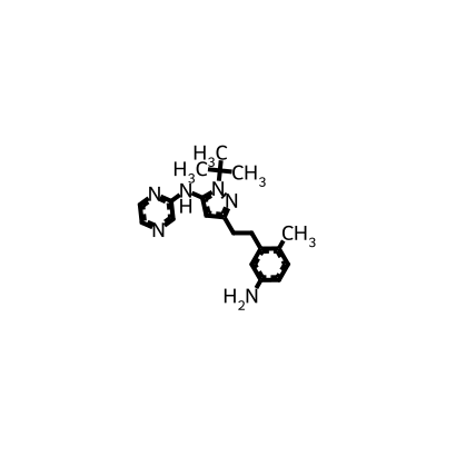 Cc1ccc(N)cc1CCc1cc(Nc2cnccn2)n(C(C)(C)C)n1